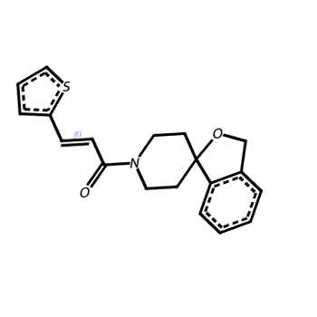 O=C(/C=C/c1cccs1)N1CCC2(CC1)OCc1ccccc12